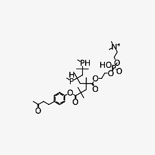 CPC(C)(C)CC(C)(CC(C)(CC(C)(C)C(=O)Oc1ccc(CCC(C)=O)cc1)C(=O)OCCOP(=O)(O)OCC[N+](C)(C)C)PC